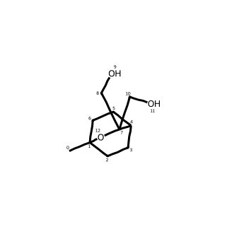 CC12CCC(CC1)C(CO)(CO)O2